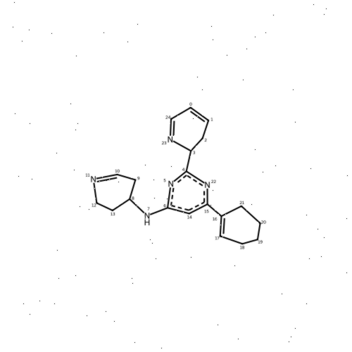 C1=CCC(c2nc(NC3CC=NCC3)cc(C3=CCCCC3)n2)N=C1